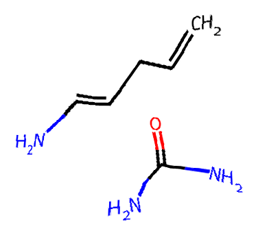 C=CCC=CN.NC(N)=O